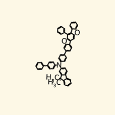 CC1(C)c2ccccc2-c2ccc(N(c3ccc(-c4ccccc4)cc3)c3ccc(-c4ccc5c(c4)oc4c(-c6ccccc6)c6c(cc45)oc4ccccc46)cc3)cc21